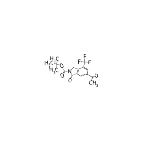 CC(=O)c1cc2c(c(C(F)(F)F)c1)CN(C(=O)OC(C)(C)C)C2=O